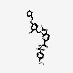 Cc1ccc(S(=O)(=O)NC(=O)c2ccc3nc(C)n(Cc4ccc(OCC5CCCC5)cc4Cl)c3n2)cc1